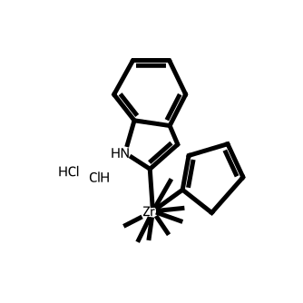 Cl.Cl.[CH3][Zr]([CH3])([CH3])([CH3])([CH3])([CH3])([CH3])([C]1=CC=CC1)[c]1cc2ccccc2[nH]1